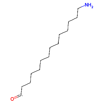 NCCCCCCCCCCCCC[C]=O